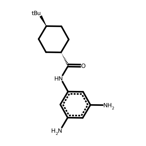 CC(C)(C)[C@H]1CC[C@H](C(=O)Nc2cc(N)cc(N)c2)CC1